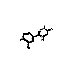 O=C1CNC(c2ccc(F)c(Br)c2)=NN1